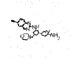 C#Cc1ccc2nc(Nc3cc(CN4CCOCC4)cc(-c4ccc(N)nc4)c3)ncc2c1